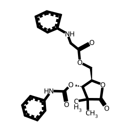 CC1(C)C(=O)O[C@H](COC(=O)CNc2ccccc2)[C@H]1OC(=O)Nc1ccccc1